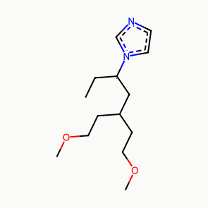 CC[C](CC(CCOC)CCOC)n1ccnc1